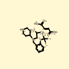 CC(C)CN(Cc1ccccc1SC(F)(F)F)C1CCNCC1.O=C(O)C=CC(=O)O